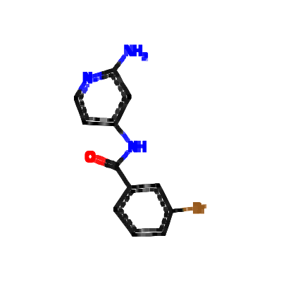 Nc1cc(NC(=O)c2cccc(Br)c2)ccn1